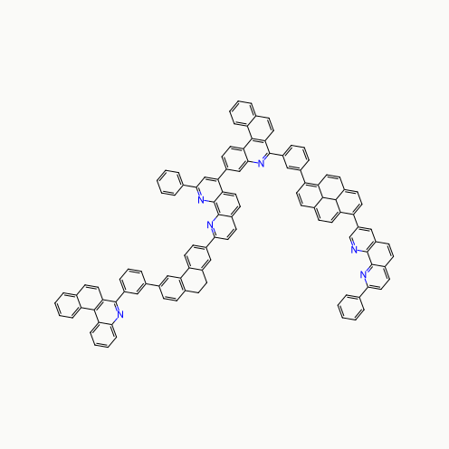 C1=CC2=C(c3cccc(-c4nc5cc(-c6cc(-c7ccccc7)nc7c6ccc6ccc(-c8ccc9c(c8)CCc8ccc(-c%10cccc(-c%11nc%12ccccc%12c%12c%11ccc%11ccccc%11%12)c%10)cc8-9)nc67)ccc5c5c4ccc4ccccc45)c3)C=CC3=CC=C4C(c5cnc6c(ccc7ccc(-c8ccccc8)nc76)c5)=CC=C1C4C32